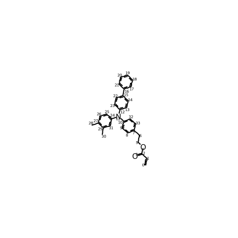 C=CC(=O)OCCc1ccc(N(c2ccc(-c3ccccc3)cc2)c2ccc(C)c(C)c2)cc1